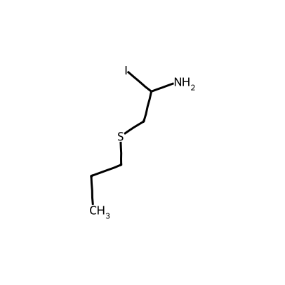 CCCSCC(N)I